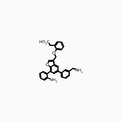 NCc1cccc(-c2cc(-c3ccccc3N)c3occ(COc4ccccc4CC(=O)O)c3c2)c1